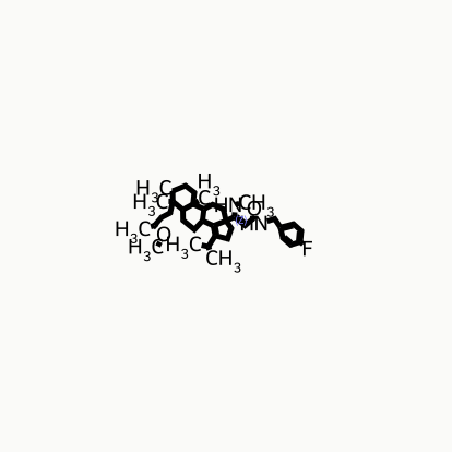 CN/C(=C\C(=O)NCc1ccc(F)cc1)C12CCC(C(C)C)=C1C1CCC3C(C)(CCC(C)OC)C(C)CCC3(C)C1CC2